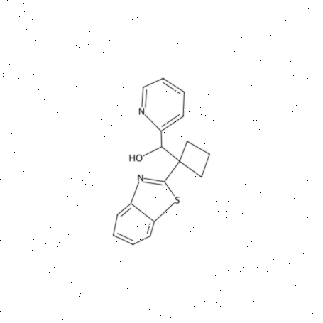 OC(c1ccccn1)C1(c2nc3ccccc3s2)CCC1